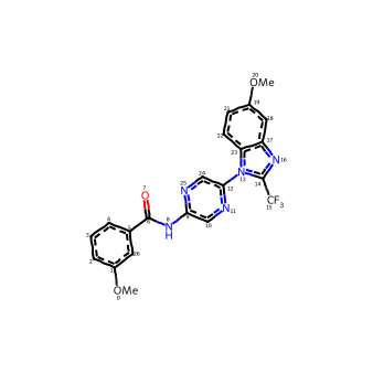 COc1cccc(C(=O)Nc2cnc(-n3c(C(F)(F)F)nc4cc(OC)ccc43)cn2)c1